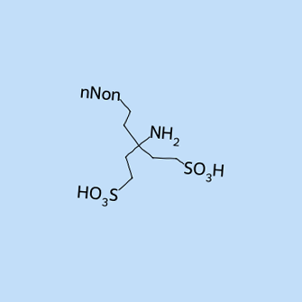 CCCCCCCCCCCC(N)(CCS(=O)(=O)O)CCS(=O)(=O)O